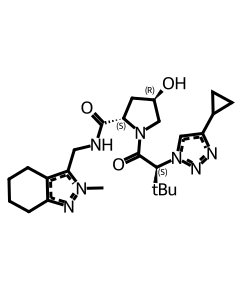 Cn1nc2c(c1CNC(=O)[C@@H]1C[C@@H](O)CN1C(=O)[C@@H](n1cc(C3CC3)nn1)C(C)(C)C)CCCC2